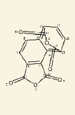 O=C1OC(=O)c2c1ccc1c3ccc(c(=O)oc3=O)c21